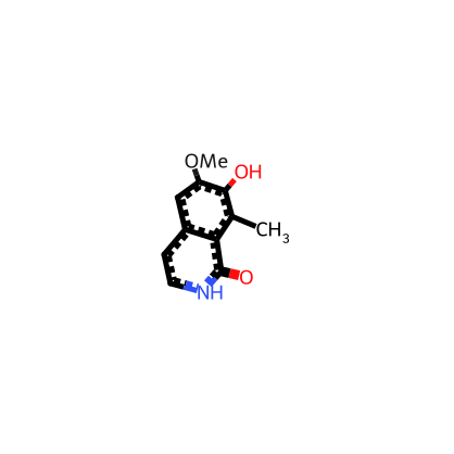 COc1cc2cc[nH]c(=O)c2c(C)c1O